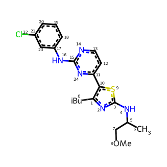 CCC(C)c1nc(NC(C)COC)sc1-c1ccnc(Nc2cccc(Cl)c2)n1